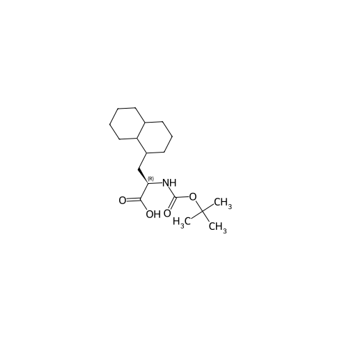 CC(C)(C)OC(=O)N[C@H](CC1CCCC2CCCCC21)C(=O)O